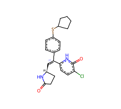 O=C1CC[C@H](/C=C(/c2ccc(SC3CCCC3)cc2)c2ccc(Cl)c(=O)[nH]2)N1